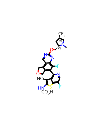 CN1C[C@@H](C(F)(F)F)C[C@H]1COc1ncc2c3c(c(-c4ncc(F)c5sc(NC(=O)O)c(C#N)c45)c(F)c2n1)COC3